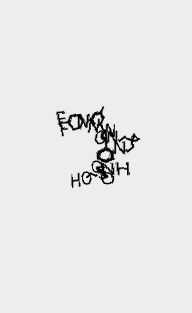 Cc1cc(-c2nnc(-c3ccc(NS(=O)(=O)CCO)cc3N3CCC4(CC3)CC4)o2)nc(N2CCC(F)(F)CC2)c1